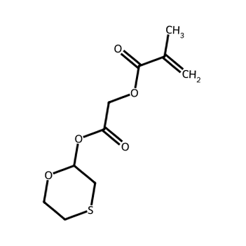 C=C(C)C(=O)OCC(=O)OC1CSCCO1